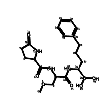 COCC(NC(=O)C1CCC(=O)N1)C(=O)N[C@@H](CCCc1ccccc1)B(O)O